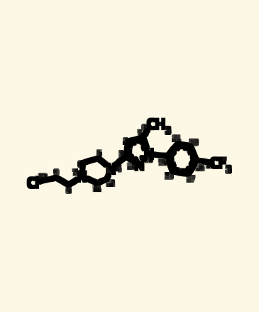 Cc1cc(N2CCN(CCCl)CC2)nn1-c1ccc(C(F)(F)F)cc1